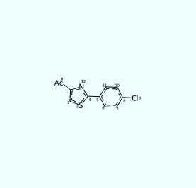 CC(=O)c1csc(-c2ccc(Cl)cc2)n1